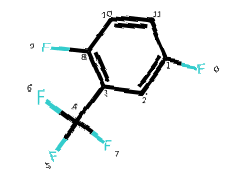 Fc1[c]c(C(F)(F)F)c(F)cc1